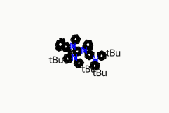 CC(C)(C)c1ccc(N(c2ccc(C(C)(C)C)cc2)c2ccc3c(c2)C2(C)CCCCC2(C)N3c2cc3c4c(c2)N(c2ccccc2)c2cc5c(cc2B4c2cc(C(C)(C)C)ccc2N3c2ccc(C(C)(C)C)cc2)C(C)(C)CCC5(C)C)cc1